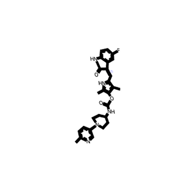 Cc1ccc(N2CCC(NC(=O)Oc3c(C)[nH]c(/C=C4\C(=O)Nc5ccc(F)cc54)c3C)CC2)cn1